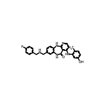 Cc1ccc(O)cc1Nc1ccnc2c1C(=O)Nc1cc(CNCc3ccc(F)cc3)ccc1N2